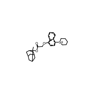 CC1(OC(=O)COc2ccc([SH]3CCCCC3)c3ccccc23)C2CC3CC(C2)CC1C3